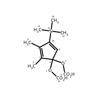 CC1=C(C)C(OC(=O)O)(OC(=O)O)C=C1[Si](C)(C)C